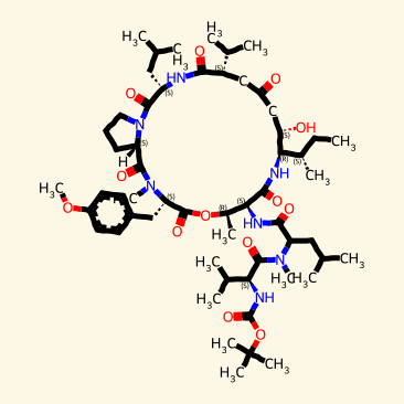 CC[C@H](C)[C@H]1NC(=O)[C@@H](NC(=O)C(CC(C)C)N(C)C(=O)[C@@H](NC(=O)OC(C)(C)C)C(C)C)[C@@H](C)OC(=O)[C@H](Cc2ccc(OC)cc2)N(C)C(=O)[C@@H]2CCCN2C(=O)[C@H](CC(C)C)NC(=O)[C@H](C(C)C)CC(=O)C[C@@H]1O